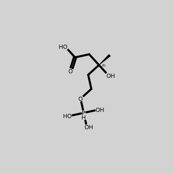 C[C@@](O)(CCO[PH](O)(O)O)CC(=O)O